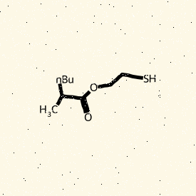 CCCCC(C)C(=O)OCCS